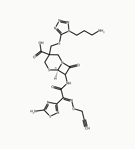 C#CCON=C(C(=O)NC1C(=O)N2CC(CSc3nnnn3CCCN)(C(=O)O)CS[C@H]12)c1nsc(N)n1